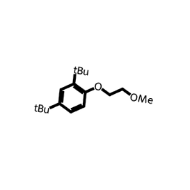 COCCOc1ccc(C(C)(C)C)cc1C(C)(C)C